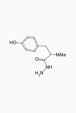 CNC(Cc1ccc(O)cc1)C(=O)NN